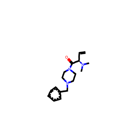 C=C[C@H](C(=O)N1CCN(Cc2ccccc2)CC1)N(C)C